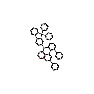 c1ccc(-c2cccc(-c3c(-c4ccccc4)cccc3N(c3ccccc3)c3ccc4c(c3)C(c3ccccc3)(c3ccccc3)c3ccccc3-4)c2)cc1